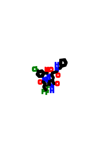 C[C@@H]1C[C@@H](CC(NC(=O)c2cc(Cl)ccc2NC(=O)CCC(F)(F)F)C(O)C(=O)NCc2ccccc2)C(=O)N1